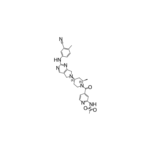 Cc1ccc(Nc2ncc3c(n2)CN([C@@H]2CCN(C(=O)c4ccnc(NS(C)(=O)=O)c4)[C@H](C)C2)C3)cc1C#N